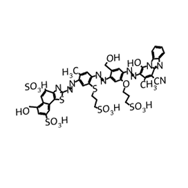 Cc1cc(N=Nc2cc(OCCCS(=O)(=O)O)c(N=Nc3c(C)c(C#N)c4nc5ccccc5n4c3O)cc2CO)c(SCCCS(=O)(=O)O)cc1N=Nc1nc2c(S(=O)(=O)O)cc3c(CO)cc(S(=O)(=O)O)cc3c2s1